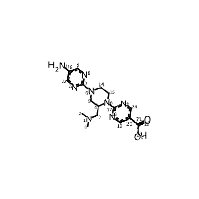 CN(C)C[C@H]1CN(c2ncc(N)cn2)CCN1c1ncc(C(=O)O)cn1